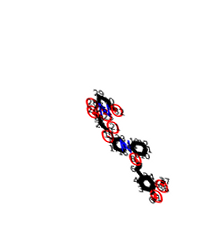 COc1ccc(CCO[C@@H]2CCCC[C@H]2N2CC[C@@H](OC(=O)CC(=O)ON3C(=O)CCC3=O)C2)cc1OC